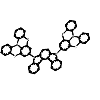 c1ccc2c(c1)Sc1cc(-n3c4ccccc4c4c5c6ccccc6n(-c6cc7c8c(c6)Sc6ccccc6B8c6ccccc6S7)c5ccc43)cc3c1B2c1ccccc1S3